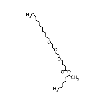 CCCCCCCCCCOCCOCCOCCCC(=O)OC(C)CCCCC